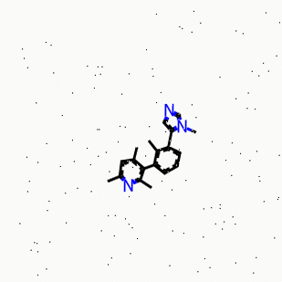 Cc1cc(C)c(-c2cccc(-c3cncn3C)c2C)c(C)n1